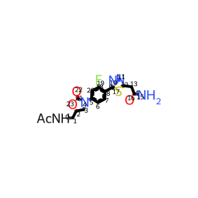 CC(=O)NCC1CN(c2ccc(-c3nnc(CC(N)=O)s3)c(F)c2)C(=O)O1